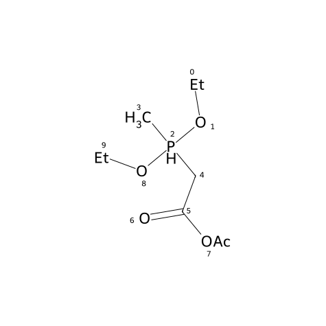 CCO[PH](C)(CC(=O)OC(C)=O)OCC